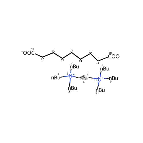 CCCC[N+](CCCC)(CCCC)CCCC.CCCC[N+](CCCC)(CCCC)CCCC.O=C([O-])CCCCCCCC(=O)[O-]